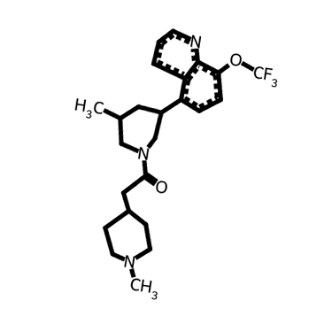 CC1CC(c2ccc(OC(F)(F)F)c3ncccc23)CN(C(=O)CC2CCN(C)CC2)C1